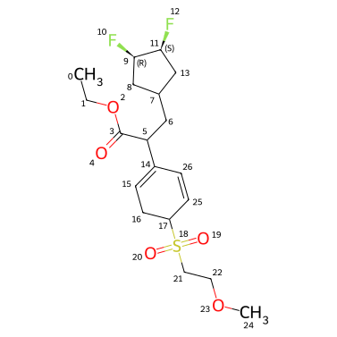 CCOC(=O)C(CC1C[C@@H](F)[C@@H](F)C1)C1=CCC(S(=O)(=O)CCOC)C=C1